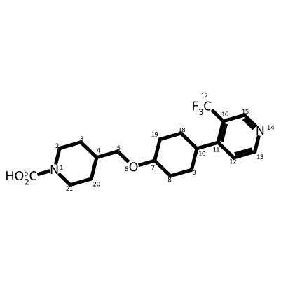 O=C(O)N1CCC(COC2CCC(c3ccncc3C(F)(F)F)CC2)CC1